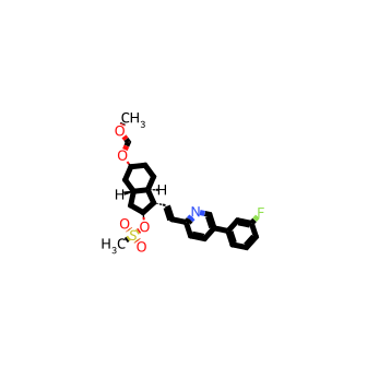 COCO[C@@H]1CC[C@@H]2[C@@H](C1)C[C@@H](OS(C)(=O)=O)[C@H]2C=Cc1ccc(-c2cccc(F)c2)cn1